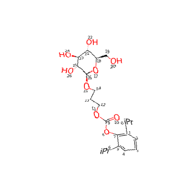 CC(C)c1cccc(C(C)C)c1OC(=O)OCCCO[C@@H]1O[C@H](CO)[C@@H](O)[C@H](O)[C@H]1O